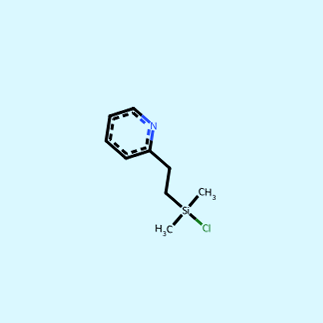 C[Si](C)(Cl)CCc1ccccn1